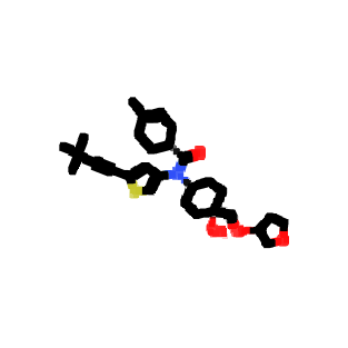 CC1=CC[C@H](C(=O)N(c2csc(C#CC(C)(C)C)c2)[C@H]2CC[C@](O)(CO[C@H]3CCOC3)CC2)CC1